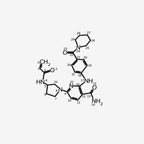 C=CC(=O)NC1CCN(c2ccc(C(N)=O)c(Nc3ccc(C(=O)N4CCCCC4)cc3)n2)C1